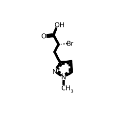 Cn1ccc(C[C@@H](Br)C(=O)O)n1